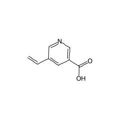 C=Cc1cncc(C(=O)O)c1